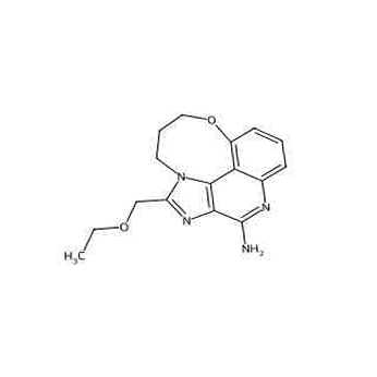 CCOCc1nc2c(N)nc3cccc4c3c2n1CCCO4